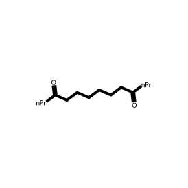 CCCC(=O)CCCCCCC(=O)CCC